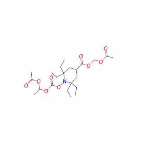 CCC1(CC)CC(C(=O)OCOC(C)=O)CC(CC)(CC)N1OC(=O)OC(C)OC(C)=O